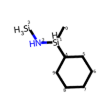 C[SiH](N[SiH3])C1CCCCC1